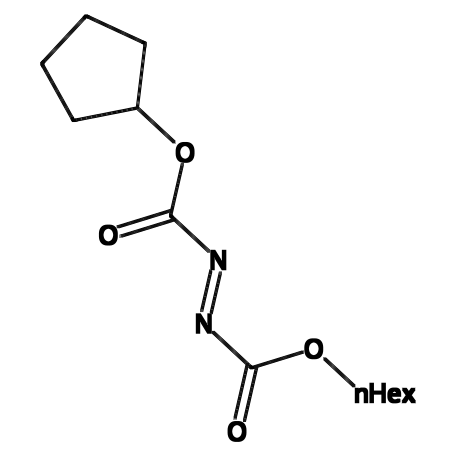 CCCCCCOC(=O)N=NC(=O)OC1CCCC1